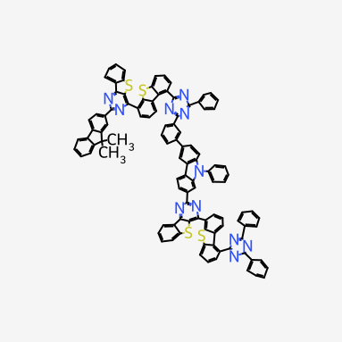 CC1(C)c2ccccc2-c2ccc(-c3nc(-c4cccc5c4sc4cccc(-c6nc(-c7ccccc7)nc(-c7cccc(-c8ccc9c(c8)c8ccc(-c%10nc(-c%11cccc%12c%11sc%11cccc(-c%13nc(-c%14ccccc%14)nc(-c%14ccccc%14)n%13)c%11%12)c%11sc%12ccccc%12c%11n%10)cc8n9-c8ccccc8)c7)n6)c45)c4sc5ccccc5c4n3)cc21